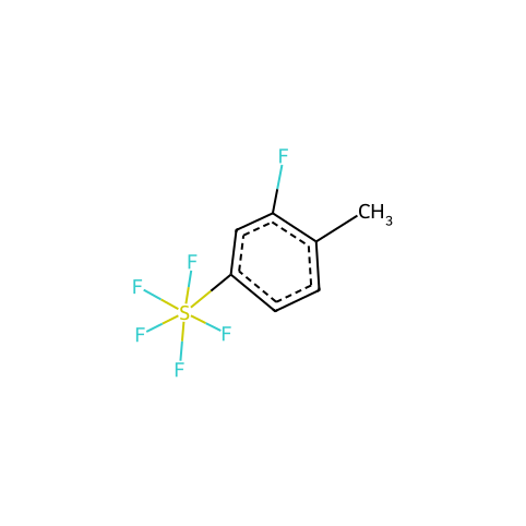 Cc1ccc(S(F)(F)(F)(F)F)cc1F